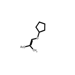 CC(=O)O/C(C)=C/OC1CCCC1